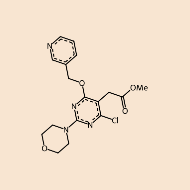 COC(=O)Cc1c(Cl)nc(N2CCOCC2)nc1OCc1cccnc1